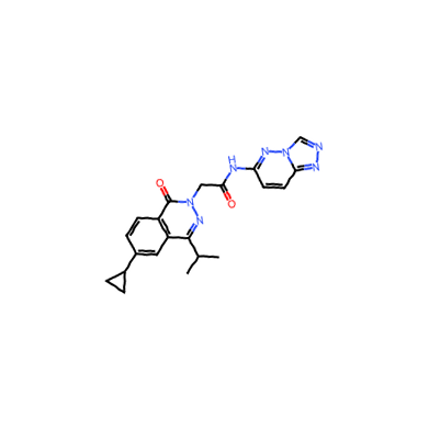 CC(C)c1nn(CC(=O)Nc2ccc3nncn3n2)c(=O)c2ccc(C3CC3)cc12